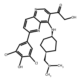 CN(C)C[C@H]1CC[C@@H](Nc2c(C(=O)CO)cnc3ccc(-c4cc(Cl)c(O)c(Cl)c4)nc23)CC1